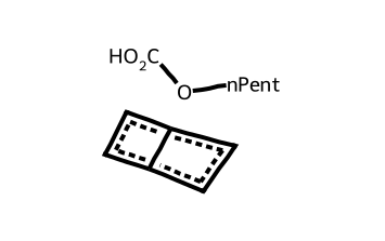 CCCCCOC(=O)O.c1cc2ccc1-2